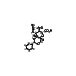 CC(=O)O[C@@H]1[C@@H](N=[N+]=[N-])[C@H]2O[C@@H](c3ccccc3)OC[C@H]2O[C@H]1C(=O)O